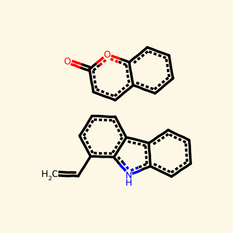 C=Cc1cccc2c1[nH]c1ccccc12.O=c1ccc2ccccc2o1